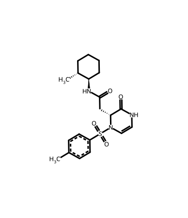 Cc1ccc(S(=O)(=O)N2C=CNC(=O)[C@H]2CC(=O)N[C@@H]2CCCC[C@H]2C)cc1